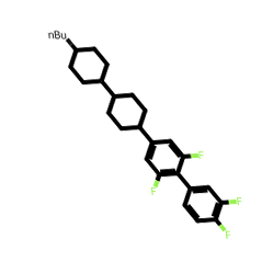 CCCCC1CCC(C2CCC(c3cc(F)c(-c4ccc(F)c(F)c4)c(F)c3)CC2)CC1